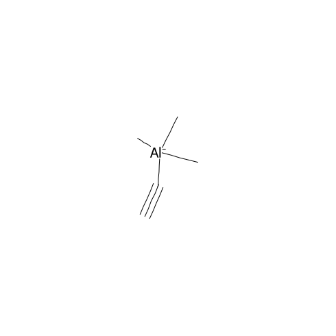 C#[C][Al-]([CH3])([CH3])[CH3]